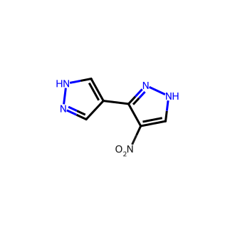 O=[N+]([O-])c1c[nH]nc1-c1cn[nH]c1